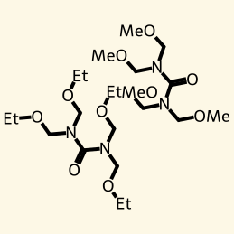 CCOCN(COCC)C(=O)N(COCC)COCC.COCN(COC)C(=O)N(COC)COC